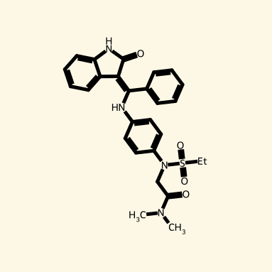 CCS(=O)(=O)N(CC(=O)N(C)C)c1ccc(NC(=C2C(=O)Nc3ccccc32)c2ccccc2)cc1